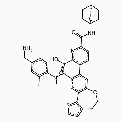 Cc1cc(CN)ccc1NC(=O)c1cc2c(cc1-c1ccc(C(=O)NC34CCC(CC3)CC4)nc1C(=O)O)OCCc1ccsc1-2